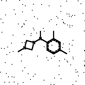 Cc1ccc(N(C)N2CN(C)C2)c(C)c1